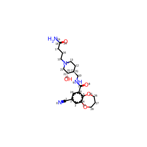 N#Cc1cc2c(c(C(=O)NC[C@@H]3CCN(CCCC(N)=O)C[C@H]3O)c1)OCCCO2